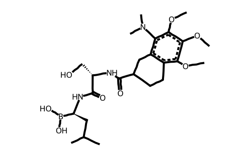 COc1c2c(c(N(C)C)c(OC)c1OC)CC(C(=O)N[C@@H](CO)C(=O)N[C@@H](CC(C)C)B(O)O)CC2